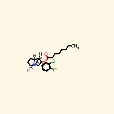 CCCCCCCC(=O)O[C@H]1CN2[C@@H]3CC[C@H]2[C@H]1[C@H](c1ccc(Cl)c(Cl)c1)C3